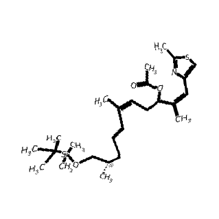 CC(=O)OC(CC=C(C)CCC[C@H](C)CO[Si](C)(C)C(C)(C)C)C(C)=Cc1csc(C)n1